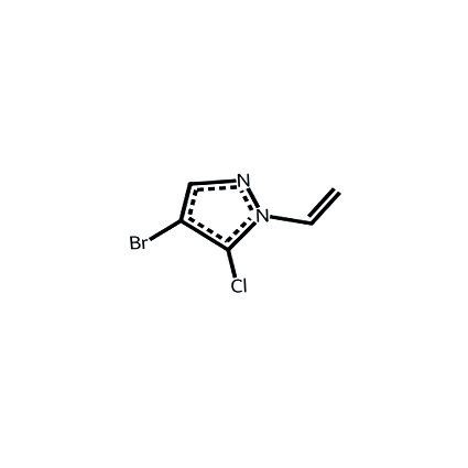 C=Cn1ncc(Br)c1Cl